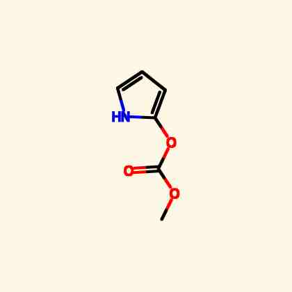 COC(=O)Oc1ccc[nH]1